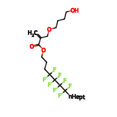 C=C(COCCCCO)C(=O)OCCCC(F)(F)C(F)(F)C(F)(F)C(F)(F)CCCCCCC